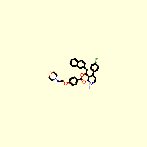 O=C(OC(Cc1ccc2ccccc2c1)C1CNCCC1c1ccc(F)cc1)c1ccc(OCCN2CCOCC2)cc1